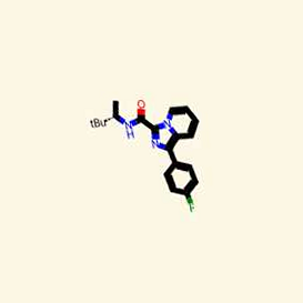 C[C@H](NC(=O)c1nc(-c2ccc(F)cc2)c2ccccn12)C(C)(C)C